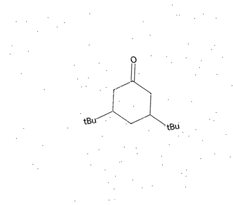 CC(C)(C)C1CC(=O)CC(C(C)(C)C)C1